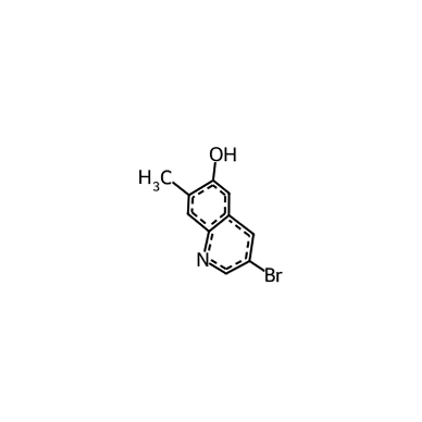 Cc1cc2ncc(Br)cc2cc1O